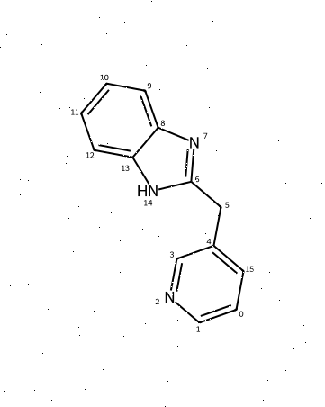 c1cncc(Cc2nc3ccccc3[nH]2)c1